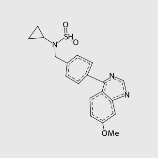 COc1ccc2c(-c3ccc(CN(C4CC4)[SH](=O)=O)cc3)ncnc2c1